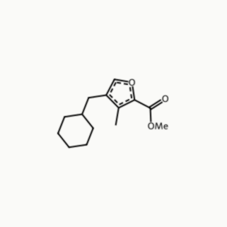 COC(=O)c1occ(CC2CCCCC2)c1C